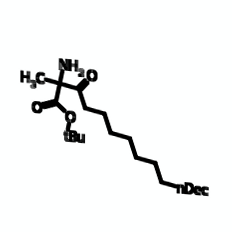 CCCCCCCCCCCCCCCCCC(=O)C(C)(N)C(=O)OC(C)(C)C